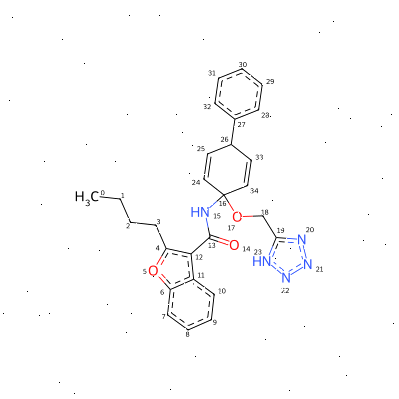 CCCCc1oc2ccccc2c1C(=O)NC1(OCc2nnn[nH]2)C=CC(c2ccccc2)C=C1